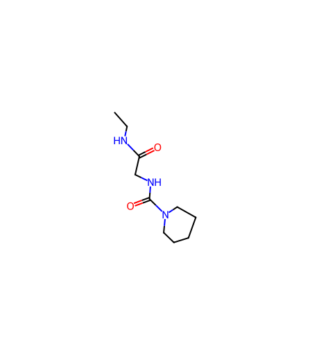 CCNC(=O)CNC(=O)N1CCCCC1